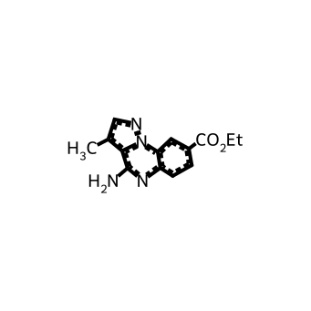 CCOC(=O)c1ccc2nc(N)c3c(C)cnn3c2c1